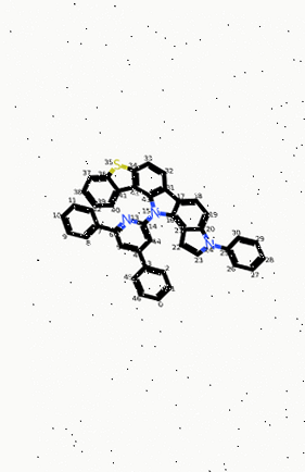 c1ccc(-c2cc(-c3ccccc3)nc(-n3c4c(ccc5c4ccn5-c4ccccc4)c4ccc5sc6ccccc6c5c43)c2)cc1